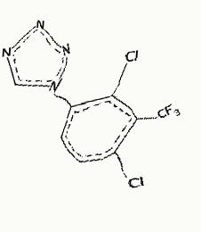 FC(F)(F)c1c(Cl)ccc(-n2cnnn2)c1Cl